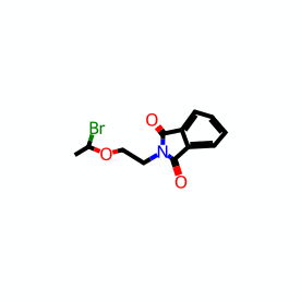 CC(Br)OCCN1C(=O)c2ccccc2C1=O